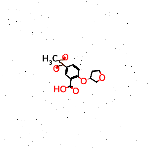 CS(=O)(=O)c1ccc(O[C@@H]2CCOC2)c(C(=O)O)c1